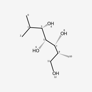 CC(C)[C@H](O)[C@@H](O)[C@H](O)[C@H](C)CO